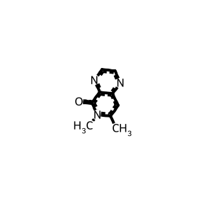 Cc1cc2nccnc2c(=O)n1C